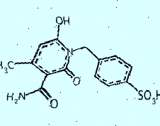 Cc1cc(O)n(Cc2ccc(S(=O)(=O)O)cc2)c(=O)c1C(N)=O